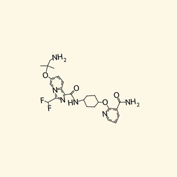 CC(C)(CN)Oc1ccc2c(C(=O)NC3CCC(Oc4ncccc4C(N)=O)CC3)nc(C(F)F)n2c1